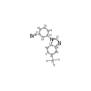 CC(C)(C)c1ccc2c(c1)ncn2-c1cccc(Br)c1